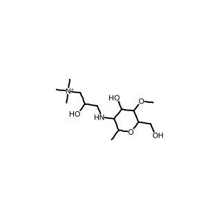 COC1C(CO)OC(C)C(NCC(O)C[N+](C)(C)C)C1O